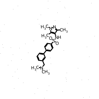 Cc1nn(C)c(C)c1NS(=O)(=O)c1ccc(-c2cccc(CN(C)C)c2)cc1